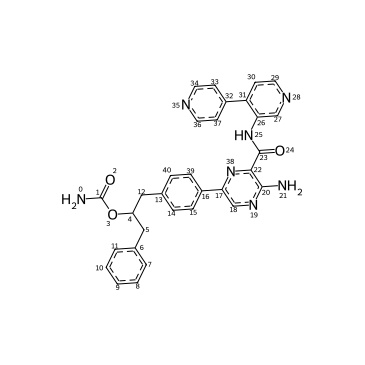 NC(=O)OC(Cc1ccccc1)Cc1ccc(-c2cnc(N)c(C(=O)Nc3cnccc3-c3ccncc3)n2)cc1